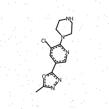 Cc1nnc(-c2cnc(N3CCNCC3)c(Cl)c2)o1